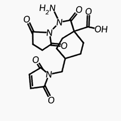 NN(C(=O)C1(C(=O)O)CCC(CN2C(=O)C=CC2=O)CC1)N1C(=O)CCC1=O